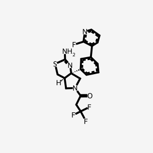 NC1=N[C@@]2(c3cccc(-c4cccnc4F)c3)CN(C(=O)CC(F)(F)F)C[C@H]2CS1